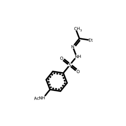 CC/C(C)=N\NS(=O)(=O)c1ccc(NC(C)=O)cc1